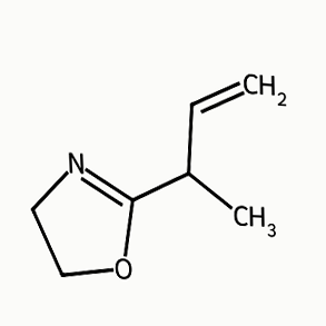 C=CC(C)C1=NCCO1